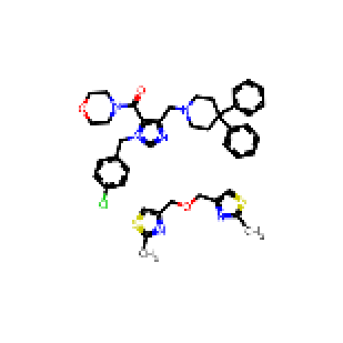 Cc1nc(COCc2csc(C)n2)cs1.O=C(c1c(CN2CCC(c3ccccc3)(c3ccccc3)CC2)ncn1Cc1ccc(Cl)cc1)N1CCOCC1